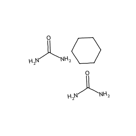 C1CCCCC1.NC(N)=O.NC(N)=O